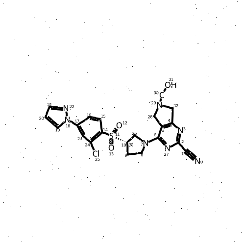 N#Cc1nc2c(c(N3CC[C@H](S(=O)(=O)c4ccc(-n5cccn5)cc4Cl)C3)n1)CN(CO)C2